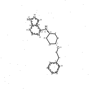 c1ccc(CCO[C@H]2CC[C@H](Nc3ncnc4[nH]ncc34)CC2)cc1